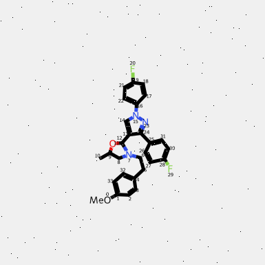 COc1ccc(CCN2CC(C)OC2c2cn(-c3ccc(F)cc3)nc2-c2ccc(F)cc2)cc1